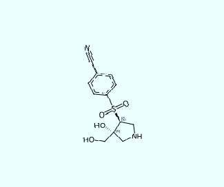 N#Cc1ccc(S(=O)(=O)[C@H]2CNC[C@@]2(O)CO)cc1